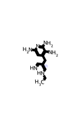 CCN/C=C(\C=N)Cc1cc(N)nc(N)c1N